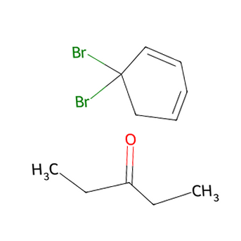 BrC1(Br)C=CC=CC1.CCC(=O)CC